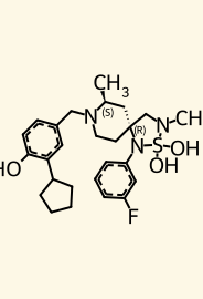 C[C@H]1C[C@]2(CCN1Cc1ccc(O)c(C3CCCC3)c1)CN(C)S(O)(O)N2c1cccc(F)c1